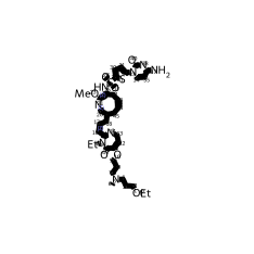 CCOCCCN(C)CCCOC1=CCN=C(/C=C\CC2/C=N\C(OC)=C(\NS(=O)(=O)c3ccc(-n4ccc(N)nc4=O)s3)CC#CC2)N(CC)C1=O